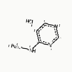 CCCCCNc1ccncn1.Cl